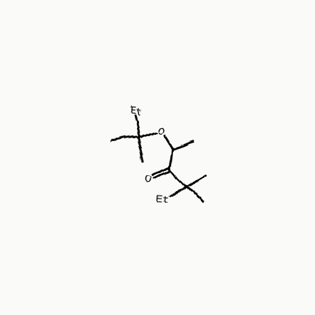 CCC(C)(C)OC(C)C(=O)C(C)(C)CC